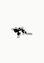 COCCN1CC(C(=O)N2CCn3c(c(-c4cn[nH]c4)c4ccc(Cl)c(Cl)c43)C2)CC1=O